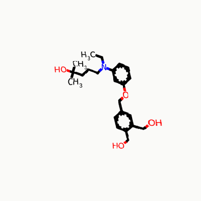 CCN(CCCC(C)(C)O)c1cccc(OCc2ccc(CO)c(CO)c2)c1